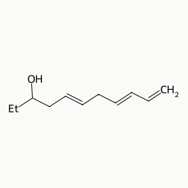 C=CC=CCC=CCC(O)CC